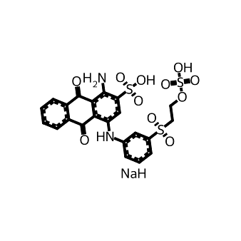 Nc1c(S(=O)(=O)O)cc(Nc2cccc(S(=O)(=O)CCOS(=O)(=O)O)c2)c2c1C(=O)c1ccccc1C2=O.[NaH]